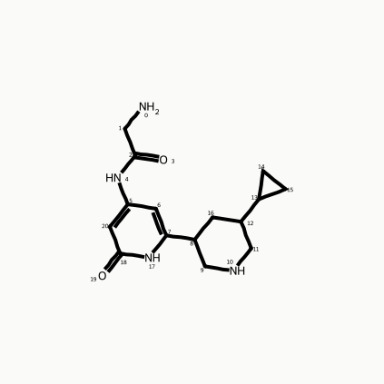 NCC(=O)Nc1cc(C2CNCC(C3CC3)C2)[nH]c(=O)c1